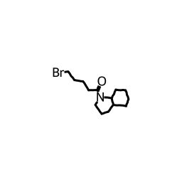 O=C(CCCCBr)N1CCCC2CCCCC21